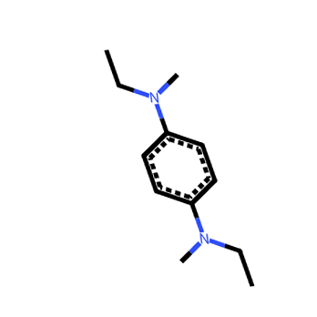 CCN(C)c1ccc(N(C)CC)cc1